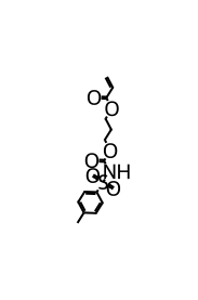 C=CC(=O)OCCCOC(=O)NS(=O)(=O)c1ccc(C)cc1